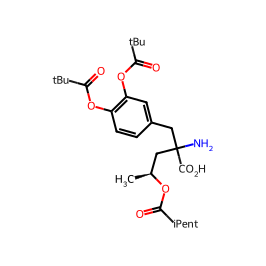 CCCC(C)C(=O)O[C@@H](C)CC(N)(Cc1ccc(OC(=O)C(C)(C)C)c(OC(=O)C(C)(C)C)c1)C(=O)O